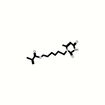 C=C(C)C(=O)OCCCCCCn1c(C)cc(=O)[nH]c1=O